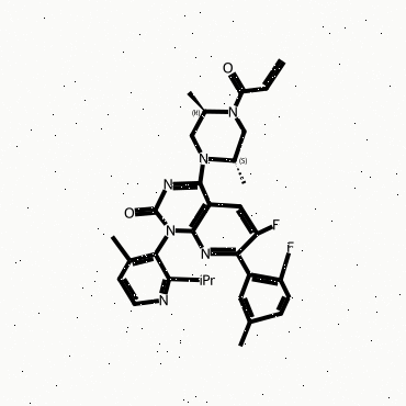 C=CC(=O)N1C[C@H](C)N(c2nc(=O)n(-c3c(C)ccnc3C(C)C)c3nc(-c4cc(C)ccc4F)c(F)cc23)C[C@H]1C